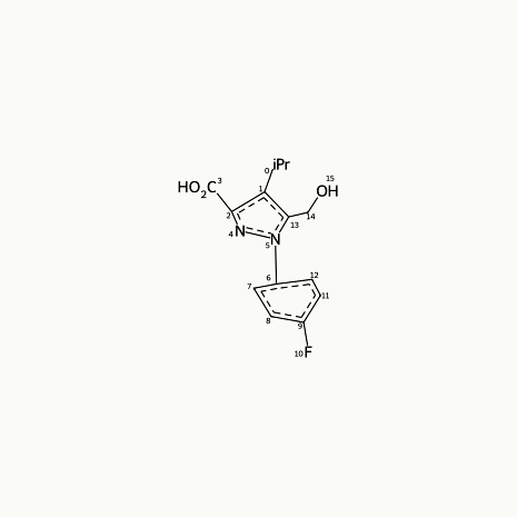 CC(C)c1c(C(=O)O)nn(-c2ccc(F)cc2)c1CO